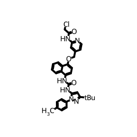 Cc1ccc(-n2nc(C(C)(C)C)cc2NC(=O)Nc2ccc(OCc3ccnc(NC(=O)CCl)c3)c3ccccc23)cc1